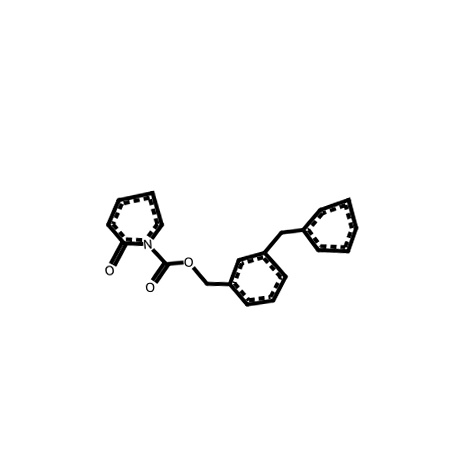 O=C(OCc1cccc(Cc2ccccc2)c1)n1ccccc1=O